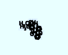 CC(C)(C)C1(O)CCN(C(=O)C2c3ccccc3Oc3ccccc32)CC1